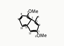 COc1cc(C)c2c(OC)cccc2c1